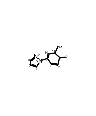 CC1C=CC(n2cccn2)=CC1C